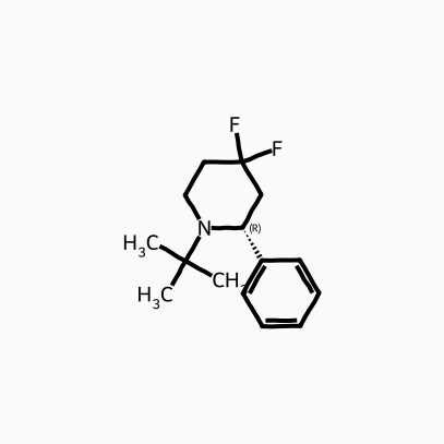 CC(C)(C)N1CCC(F)(F)C[C@@H]1c1ccccc1